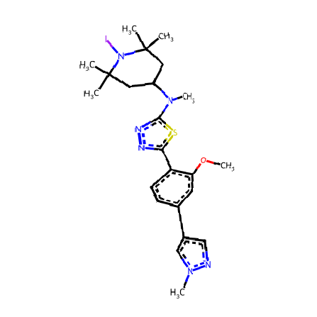 COc1cc(-c2cnn(C)c2)ccc1-c1nnc(N(C)C2CC(C)(C)N(I)C(C)(C)C2)s1